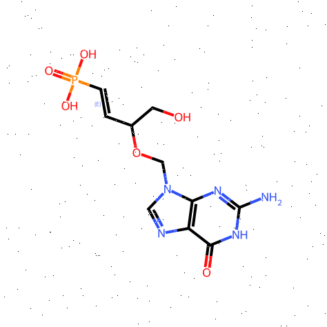 Nc1nc2c(ncn2COC(/C=C/P(=O)(O)O)CO)c(=O)[nH]1